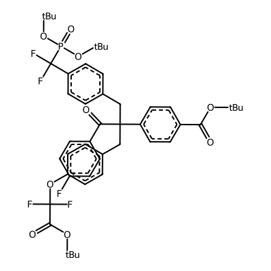 CC(C)(C)OC(=O)c1ccc(C(Cc2ccc(OC(F)(F)C(=O)OC(C)(C)C)cc2)(Cc2ccc(C(F)(F)P(=O)(OC(C)(C)C)OC(C)(C)C)cc2)C(=O)c2ccc(F)cc2)cc1